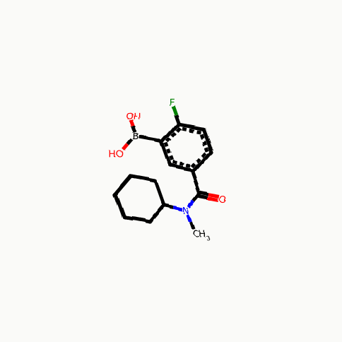 CN(C(=O)c1ccc(F)c(B(O)O)c1)C1CCCCC1